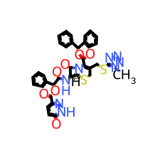 Cn1nnnc1SCC1=C(C(=O)OC(c2ccccc2)c2ccccc2)N2C(=O)[C@@H](NC(=O)C(OC(=O)c3ccc(=O)[nH]n3)c3ccccc3)[C@@H]2SC1